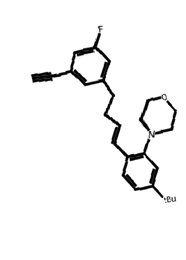 C#Cc1cc(F)cc(CC/C=C/c2ccc(C(C)(C)C)cc2N2CCOCC2)c1